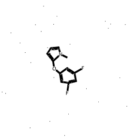 Cn1c[c]cc1Oc1cc(F)cc(F)c1